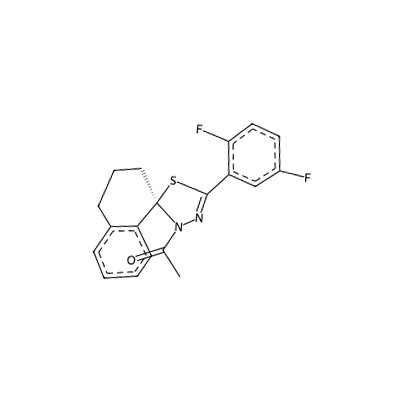 CC(=O)N1N=C(c2cc(F)ccc2F)S[C@@]12CCCc1ccccc12